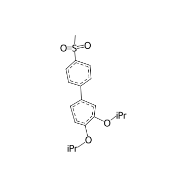 CC(C)Oc1ccc(-c2ccc(S(C)(=O)=O)cc2)cc1OC(C)C